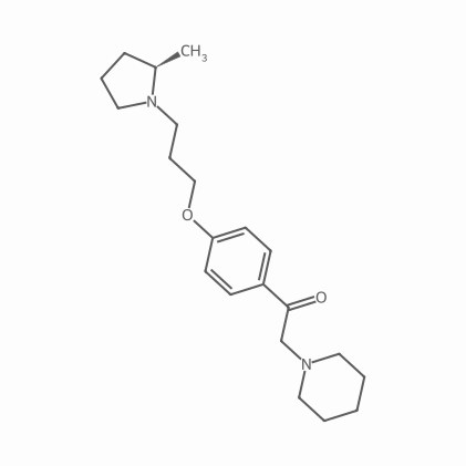 C[C@@H]1CCCN1CCCOc1ccc(C(=O)CN2CCCCC2)cc1